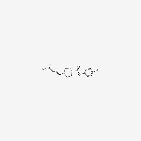 N#CC(F)=CC=C[C@H]1CC[C@H](C(=O)Oc2ccc(F)cc2)CC1